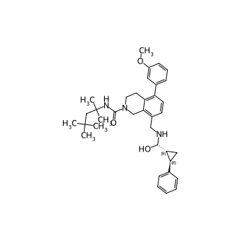 COc1cccc(-c2ccc(CNC(O)[C@@H]3C[C@H]3c3ccccc3)c3c2CCN(C(=O)NC(C)(C)CC(C)(C)C)C3)c1